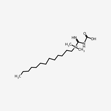 CCCCCCCCCCCCC[N+](C)(C)C(=N)NC(=O)O